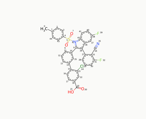 Cc1ccc(S(=O)(=O)n2c(-c3cccc(-c4ccc(C(=O)O)cc4Cl)c3)c(-c3cccc(F)c3C#N)c3cc(F)ccc32)cc1